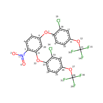 O=[N+]([O-])c1ccc(Oc2ccc(OC(F)(F)F)cc2Cl)cc1Oc1ccc(OC(F)(F)F)cc1Cl